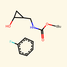 CC(C)(C)OC(=O)NCC1CC1O.Fc1ccccc1